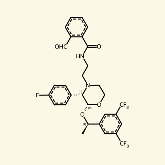 C[C@@H](O[C@H]1OCCN(CCNC(=O)c2ccccc2C=O)[C@H]1c1ccc(F)cc1)c1cc(C(F)(F)F)cc(C(F)(F)F)c1